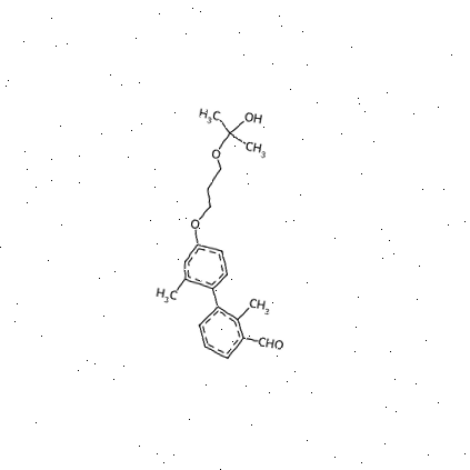 Cc1cc(OCCCOC(C)(C)O)ccc1-c1cccc(C=O)c1C